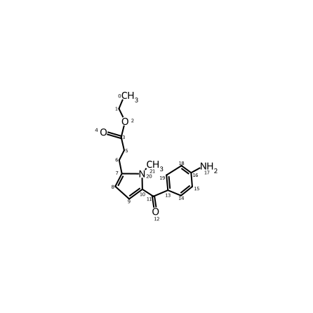 CCOC(=O)CCc1ccc(C(=O)c2ccc(N)cc2)n1C